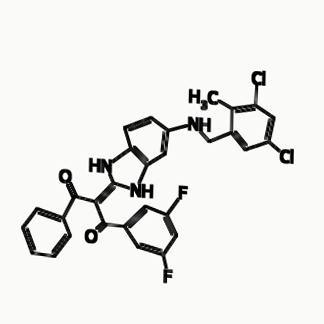 Cc1c(Cl)cc(Cl)cc1CNc1ccc2c(c1)NC(=C(C(=O)c1ccccc1)C(=O)c1cc(F)cc(F)c1)N2